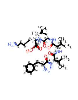 CC(C)C[C@H](NC(=O)[C@@H](NC(=O)[C@@H](NC(=O)[C@@H](N)Cc1ccccc1)C(C)C)C(C)C)C(=O)N[C@@H](CCCCN)C(=O)O